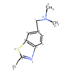 CCc1nc2ccc(CN(C)C)cc2s1